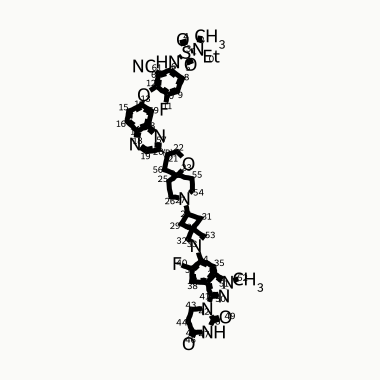 CCN(C)S(=O)(=O)Nc1ccc(F)c(Oc2ccc3ncc([C@@H]4COC5(CCN(C6CC7(C6)CN(c6cc8c(cc6F)c(N6CCC(=O)NC6=O)nn8C)C7)CC5)C4)nc3c2)c1C#N